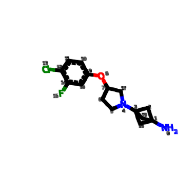 NC12CC(N3CCC(Oc4ccc(Cl)c(F)c4)C3)(C1)C2